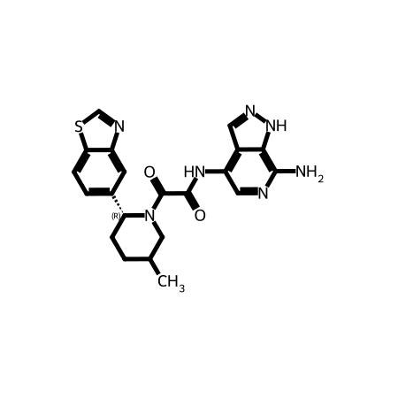 CC1CC[C@H](c2ccc3scnc3c2)N(C(=O)C(=O)Nc2cnc(N)c3[nH]ncc23)C1